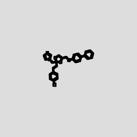 Clc1ccc(CCC2(Cn3ccnc3)OCC(COc3ccc(-c4ccccc4)cc3)O2)cc1